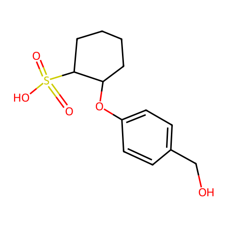 O=S(=O)(O)C1CCCCC1Oc1ccc(CO)cc1